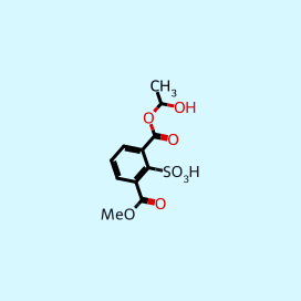 COC(=O)c1cccc(C(=O)OC(C)O)c1S(=O)(=O)O